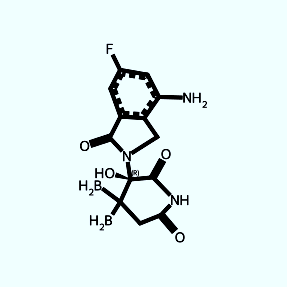 BC1(B)CC(=O)NC(=O)[C@@]1(O)N1Cc2c(N)cc(F)cc2C1=O